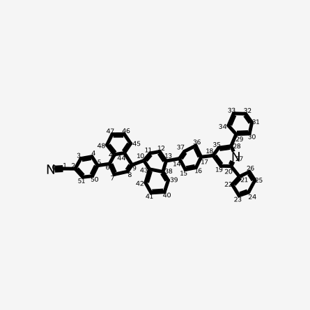 N#Cc1ccc(-c2ccc(-c3ccc(-c4ccc(-c5cc(-c6ccccc6)nc(-c6ccccc6)c5)cc4)c4ccccc34)c3ccccc23)cc1